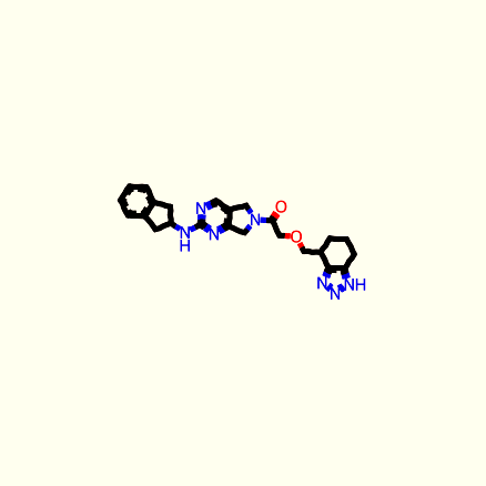 O=C(COCC1CCCc2[nH]nnc21)N1Cc2cnc(NC3Cc4ccccc4C3)nc2C1